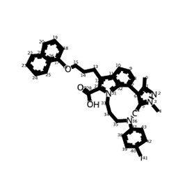 Cc1nn(C)c2c1-c1cccc3c(CCCOc4cccc5ccccc45)c(C(=O)O)n(c13)CCCN(c1ccc(I)cc1)C2